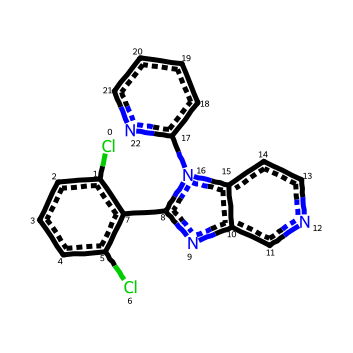 Clc1cccc(Cl)c1-c1nc2cnccc2n1-c1ccccn1